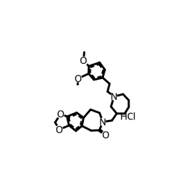 COc1ccc(CCN2CCCCC(CN3CCc4cc5c(cc4CC3=O)OCO5)C2)cc1OC.Cl